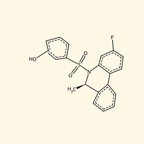 C[C@@H]1c2ccccc2-c2ccc(F)cc2N1S(=O)(=O)c1cccc(O)c1